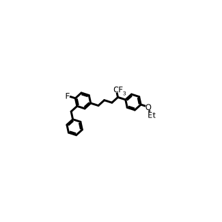 CCOc1ccc(C(CCCc2ccc(F)c(Cc3ccccc3)c2)C(F)(F)F)cc1